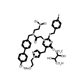 CCN(CC)CCN(Cc1ccc(-c2ccc(C(F)(F)F)cc2)cc1)C(=O)Cn1cc(Cc2cnn(CCOC)c2)c(=O)nc1SCc1ccc(F)cc1.O=C(O)C(O)C(O)C(=O)O